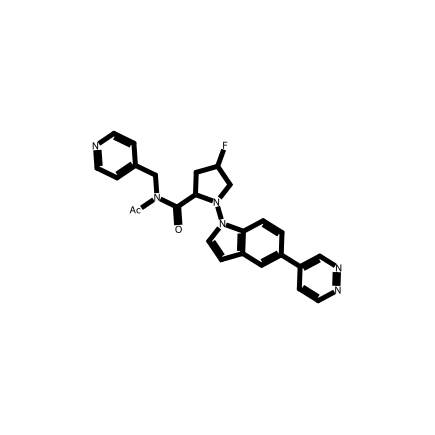 CC(=O)N(Cc1ccncc1)C(=O)C1CC(F)CN1n1ccc2cc(-c3ccnnc3)ccc21